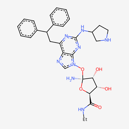 CCNC(=O)[C@H]1O[C@@](N)(On2cnc3c(CC(c4ccccc4)c4ccccc4)nc(NC4CCNC4)nc32)[C@H](O)[C@@H]1O